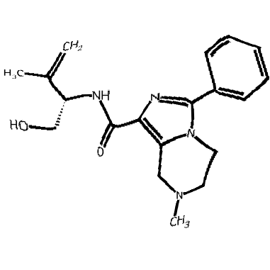 C=C(C)[C@@H](CO)NC(=O)c1nc(-c2ccccc2)n2c1CN(C)CC2